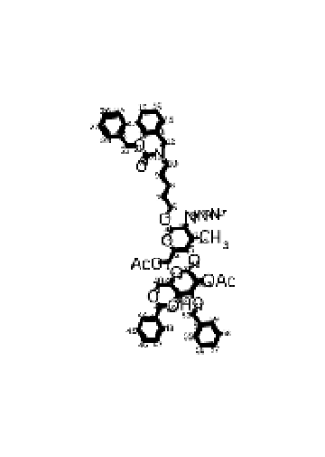 CC(=O)OCC1O[C@H](OCCCCCN(Cc2ccccc2)C(=O)OCc2ccccc2)C(N=[N+]=[N-])[C@@H](C)[C@@H]1O[C@@H]1OC2COC(c3ccccc3)O[C@H]2[C@@H](OCc2ccccc2)C1OC(C)=O